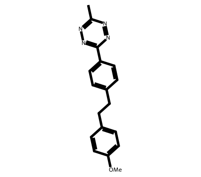 COc1ccc(CCc2ccc(-c3nnc(C)nn3)cc2)cc1